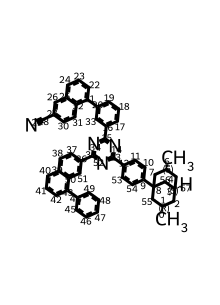 C[C@@H]1C[C@@H]2C[C@H](C)CC(c3ccc(-c4nc(-c5cccc(-c6cccc7cc(C#N)ccc67)c5)nc(-c5ccc6cccc(-c7ccccc7)c6c5)n4)cc3)(C1)C2